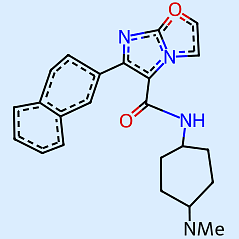 CNC1CCC(NC(=O)c2c(-c3ccc4ccccc4c3)nc3occn23)CC1